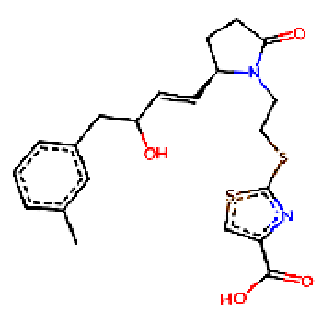 Cc1cccc(CC(O)C=C[C@H]2CCC(=O)N2CCSc2nc(C(=O)O)cs2)c1